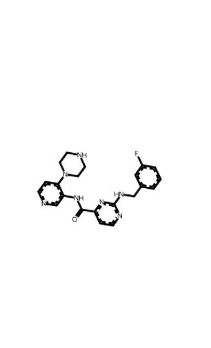 O=C(Nc1cnccc1N1CCNCC1)c1ccnc(NCc2cccc(F)c2)n1